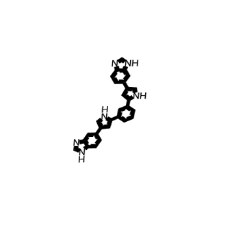 c1cc(-c2cc(-c3ccc4[nH]cnc4c3)c[nH]2)cc(-c2cc(-c3ccc4nc[nH]c4c3)c[nH]2)c1